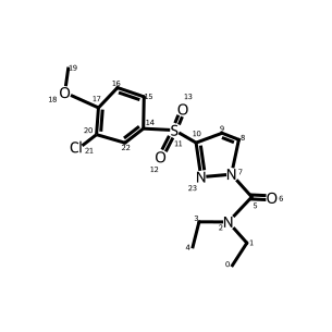 CCN(CC)C(=O)n1ccc(S(=O)(=O)c2ccc(OC)c(Cl)c2)n1